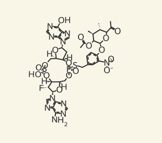 CC(=O)OC1[C@H](Oc2ccc(CSP3(=O)OC[C@H]4O[C@@H](n5cnc6c(N)ncnc65)[C@H](F)[C@@H]4OP(=O)(O)OC[C@H]4O[C@@H](n5cnc6c(O)ncnc65)C[C@@H]4O3)cc2[N+](=O)[O-])OC(C(C)=O)[C@@H](C)[C@@H]1C